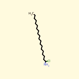 CCCCCCCCCCCCCCCCCCCC(N)Cl